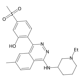 CCN1CCCC(Nc2nnc(-c3ccc(S(C)(=O)=O)cc3O)c3cc(C)ccc23)C1